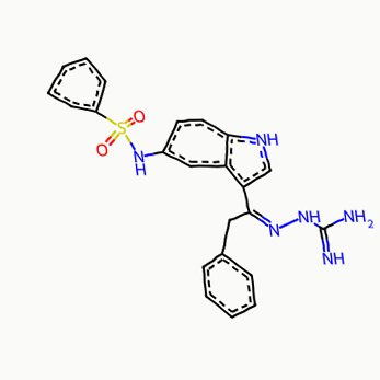 N=C(N)N/N=C(/Cc1ccccc1)c1c[nH]c2ccc(NS(=O)(=O)c3ccccc3)cc12